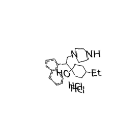 CCC1CCC(O)(C(CN2CCNCC2)c2cccc3ccccc23)CC1.Cl.Cl